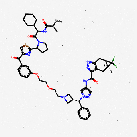 CNC(C)C(=O)NC(C(=O)N1CCCC1c1nc(C(=O)c2cccc(OCCOCCN3CC([C@@H](c4ccccc4)n4cc(NC(=O)c5n[nH]c6c5C[C@@H]5C(F)(F)[C@]5(C)C6)cn4)C3)c2)cs1)C1CCCCC1